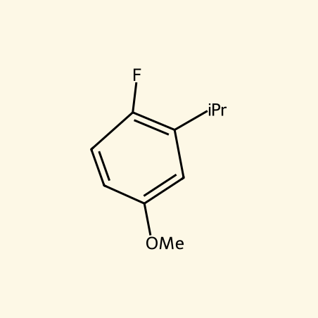 [CH2]C(C)c1cc(OC)ccc1F